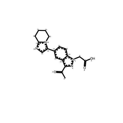 CC(=O)c1nn(CC(=O)O)c2ccc(-c3cnc4n3CCCC4)cc12